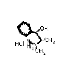 C[C@@H]([C@H](O)c1ccccc1)N(C)N.Cl